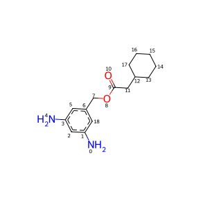 Nc1cc(N)cc(COC(=O)CC2CCCCC2)c1